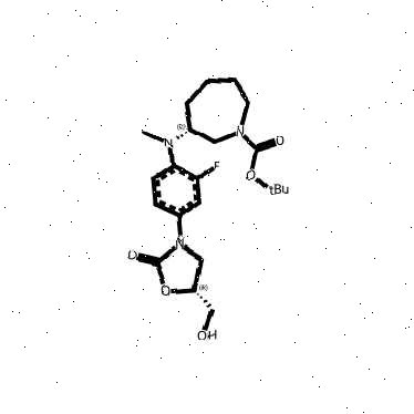 CN(c1ccc(N2C[C@H](CO)OC2=O)cc1F)[C@@H]1CCCCN(C(=O)OC(C)(C)C)C1